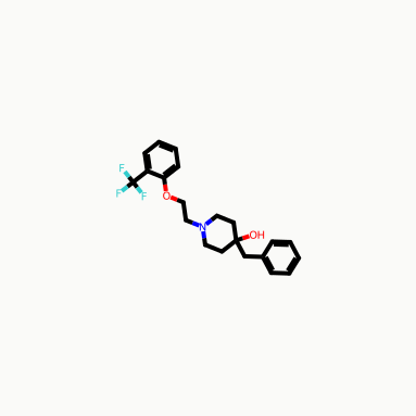 OC1(Cc2ccccc2)CCN(CCOc2ccccc2C(F)(F)F)CC1